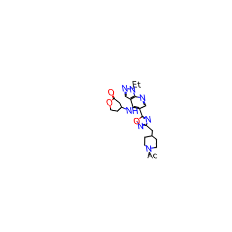 CCn1ncc2c(NC3CCOC(=O)C3)c(-c3nc(CC4CCN(C(C)=O)CC4)no3)cnc21